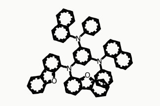 c1ccc(N(c2cc(N(c3ccccc3)c3cccc4ccccc34)cc(N(c3cccc4c3oc3ccccc34)c3cccc4c3oc3ccccc34)c2)c2cccc3ccccc23)cc1